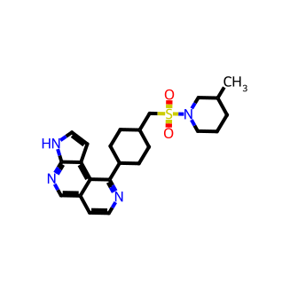 CC1CCCN(S(=O)(=O)CC2CCC(c3nccc4cnc5[nH]ccc5c34)CC2)C1